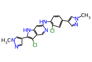 Cn1cc(-c2ccc(Nc3cc4[nH]c(-c5cnn(C)c5)c(Cl)c4cn3)c(Cl)c2)cn1